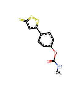 CNC(=O)Oc1ccc(-c2cc(=S)ss2)cc1